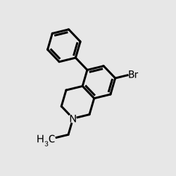 CCN1CCc2c(cc(Br)cc2-c2ccccc2)C1